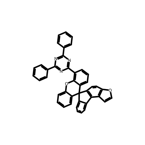 c1ccc(-c2nc(-c3ccccc3)nc(-c3cccc4c3Oc3ccccc3C43c4ccccc4-c4c3ccc3occc43)n2)cc1